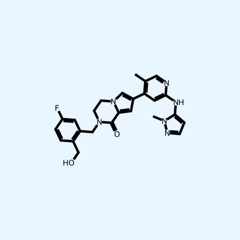 Cc1cnc(Nc2ccnn2C)cc1-c1cc2n(c1)CCN(Cc1cc(F)ccc1CO)C2=O